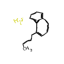 CC=CCc1cccc2ccccc12.S